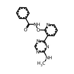 CNc1ncnc(-c2cccnc2ONC(=O)c2ccccc2)n1